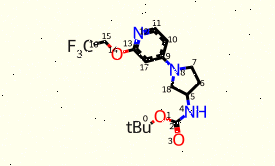 CC(C)(C)OC(=O)NC1CCN(c2ccnc(OCC(F)(F)F)c2)C1